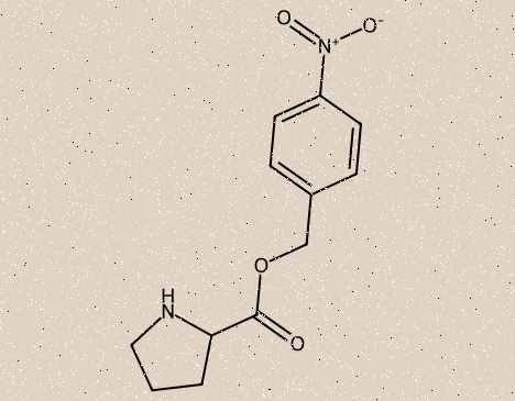 O=C(OCc1ccc([N+](=O)[O-])cc1)C1CCCN1